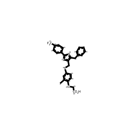 Cc1cc(SCc2sc(-c3ccc(C(F)(F)F)cc3)nc2Cc2ccccc2)ccc1OCC(=O)O